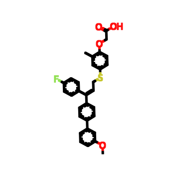 COc1cccc(-c2ccc(C(=CCSc3ccc(OCC(=O)O)c(C)c3)c3ccc(F)cc3)cc2)c1